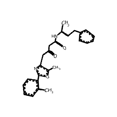 Cc1ccccc1-c1nc(CC(=O)CC(=O)NC(C)CCc2ccccc2)c(C)o1